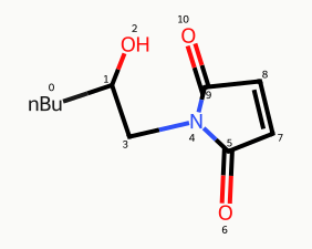 CCCCC(O)CN1C(=O)C=CC1=O